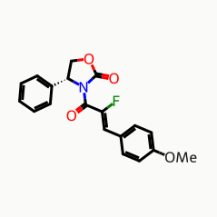 COc1ccc(/C=C(\F)C(=O)N2C(=O)OC[C@H]2c2ccccc2)cc1